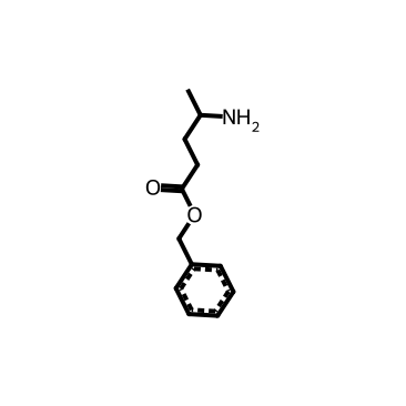 CC(N)CCC(=O)OCc1ccccc1